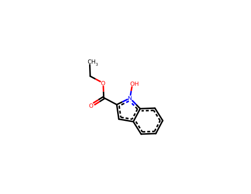 CCOC(=O)c1cc2ccccc2n1O